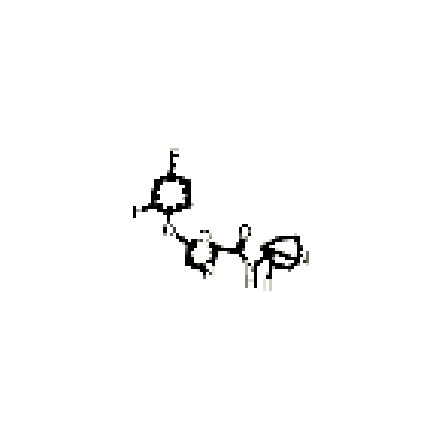 O=C(N[C@H]1CN2CCC1CC2)c1ncc(Oc2ccc(F)cc2F)o1